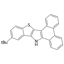 CC(C)(C)c1ccc2sc3c([nH]c4c5ccccc5c5ccccc5c43)c2c1